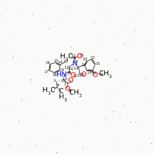 COC(=O)[C@H](CC(C)C)NC(=O)[C@H](Cc1ccccc1)N(C(C)=O)C1COc2c(OC)cccc21